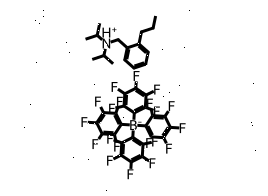 CCCc1ccccc1C[NH+](C(C)C)C(C)C.Fc1c(F)c(F)c([B-](c2c(F)c(F)c(F)c(F)c2F)(c2c(F)c(F)c(F)c(F)c2F)c2c(F)c(F)c(F)c(F)c2F)c(F)c1F